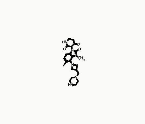 Cn1c(=O)n(C2C(=O)CCNC2=O)c2ccc(F)c(N3CC(CN4CCNCC4)C3)c21